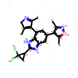 CC1=NCC(C)=C1c1cc(-c2c(C)noc2C)cc2nc(C3CC3(F)F)[nH]c12